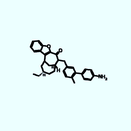 CC[C@H]1CC[C@@H]2CC(C1)c1c(oc3ccccc13)C(=O)C2Cc1ccc(C)c(-c2ccc(N)cc2)c1